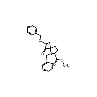 COC(=O)C1CCC2(CN(OCc3ccccc3)C2=O)N1Cc1ccccc1